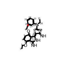 CCOc1ccc(OCC)c2c1C(=N)NC2=C1SC(N(CC)c2ccccc2)=NC1=N